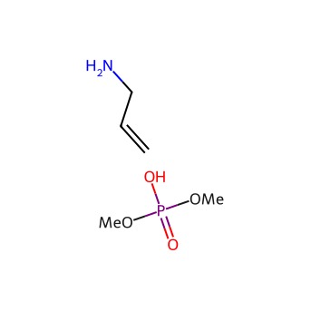 C=CCN.COP(=O)(O)OC